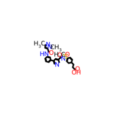 Cc1cc(C(=O)Nc2cccc(-c3cncc(C(=O)N=S(C)(=O)C4=CCC(CCC(=O)O)C=C4)c3)c2)n(C)n1